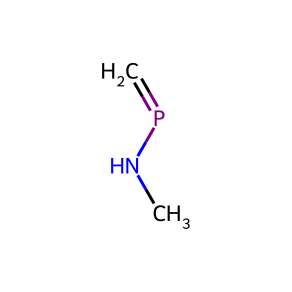 C=PNC